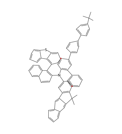 CC(C)(C)c1ccc(-c2ccc(-c3ccc(N(c4c#cc5c(c4)-c4cc6ccccc6cc4C5(C)C)c4ccc5ccccc5c4C4=c5c(sc6ccccc56)=CCC4)c(-c4ccccc4)c3)cc2)cc1